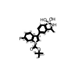 CC1NS(O)(O)c2ccc(-c3cn(C(=O)OC(C)(C)C)c4cc(F)ccc34)cc21